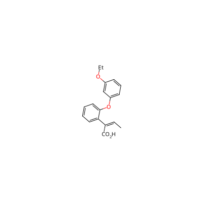 CC=C(C(=O)O)c1ccccc1Oc1cccc(OCC)c1